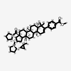 COC(=O)c1ccc(C2=CC[C@]3(C)C4CC[C@@H]5C6[C@H](C7(C)CC7)CC[C@]6(C(=O)N6CCC[C@H]6CN6CCCC6)CC[C@@]5(C)[C@]4(C)CC[C@H]3C2(C)C)cc1